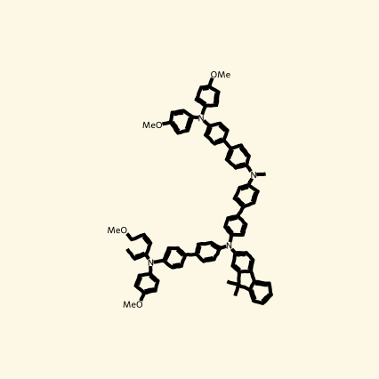 C/C=C(\C=C/COC)N(c1ccc(OC)cc1)c1ccc(-c2ccc(N(c3ccc(-c4ccc(N(C)c5ccc(-c6ccc(N(c7ccc(OC)cc7)c7ccc(OC)cc7)cc6)cc5)cc4)cc3)c3ccc4c(c3)C(C)(C)c3ccccc3-4)cc2)cc1